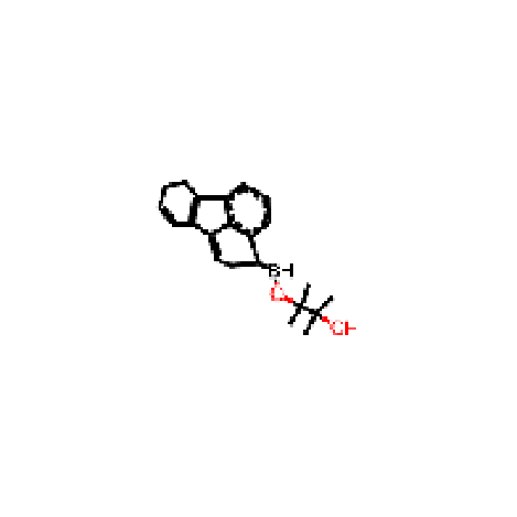 CC(C)(O)C(C)(C)OBC1CC=C2C3=C(CCC=C3)c3cccc1c32